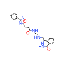 O=C(CCc1nc(-c2ccccc2)no1)NCCNCc1n[nH]c(=O)c2ccccc12